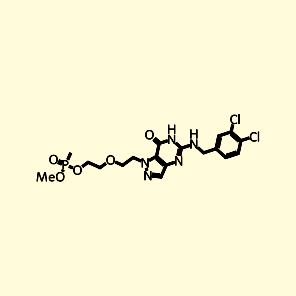 COP(C)(=O)OCCOCCn1ncc2nc(NCc3ccc(Cl)c(Cl)c3)[nH]c(=O)c21